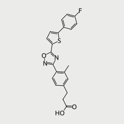 Cc1cc(CCC(=O)O)ccc1-c1noc(-c2ccc(-c3ccc(F)cc3)s2)n1